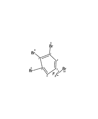 Brc1cccc(Br)c1Br.FC(F)(F)Br